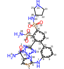 NC(=O)c1csc(Nc2cccc(-c3ccc(S(=O)(=O)N[C@@H]4CCNC4)c(S(N)(=O)=O)c3-c3nn[nH]n3)c2)n1